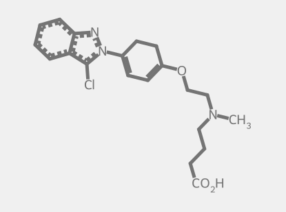 CN(CCCC(=O)O)CCOC1=CC=C(n2nc3ccccc3c2Cl)CC1